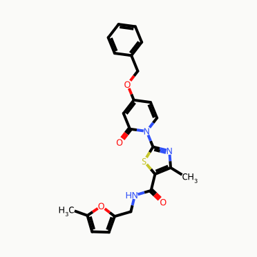 Cc1ccc(CNC(=O)c2sc(-n3ccc(OCc4ccccc4)cc3=O)nc2C)o1